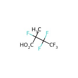 CC(F)(C(=O)O)C(F)(F)C(F)(F)F